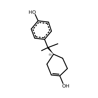 CC(C)(c1ccc(O)cc1)[C@@H]1CC=C(O)CC1